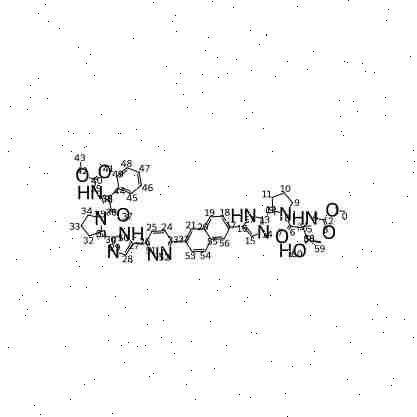 COC(=O)N[C@H](C(=O)N1CCC[C@H]1c1ncc(-c2ccc3cc(-c4ccc(-c5cnc([C@@H]6CCCN6C(=O)[C@H](NC(=O)OC)c6ccccc6)[nH]5)nn4)ccc3c2)[nH]1)[C@@H](C)O